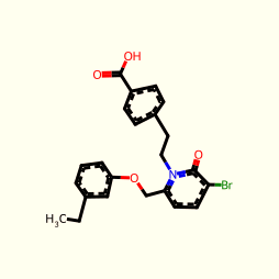 CCc1cccc(OCc2ccc(Br)c(=O)n2CCc2ccc(C(=O)O)cc2)c1